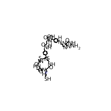 CC(C)C1NC(=O)[C@]2(C)CSC(=N2)c2nc(sc2-c2ccc(CNC(=O)CC[C@H](NC(=O)c3ccc(NCc4cnc5nc(N)[nH]c(=O)c5n4)cc3)C(=O)O)cc2)CNC(=O)CC(/C=C/CCS)NC1=O